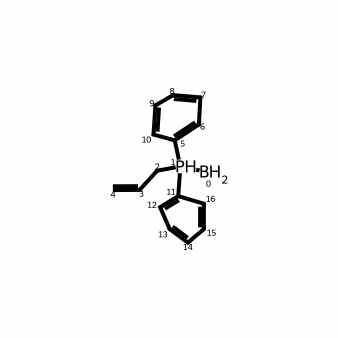 B[PH](CC=C)(c1ccccc1)c1ccccc1